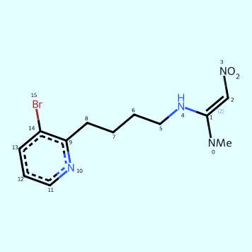 CN/C(=C/[N+](=O)[O-])NCCCCc1ncccc1Br